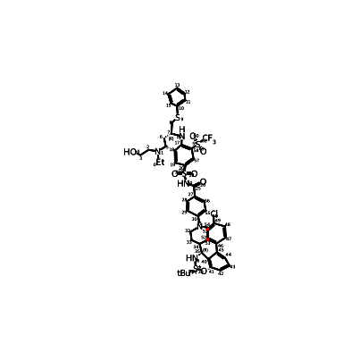 CCN(CCO)CC[C@H](CSc1ccccc1)Nc1ccc(S(=O)(=O)NC(=O)c2ccc(N3CCC([C@@H](N[S@@+]([O-])C(C)(C)C)c4ccccc4-c4ccc(Cl)cc4)CC3)cc2)cc1S(=O)(=O)C(F)(F)F